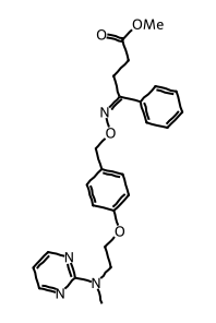 COC(=O)CCC(=NOCc1ccc(OCCN(C)c2ncccn2)cc1)c1ccccc1